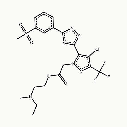 CCN(C)CCOC(=O)Cn1nc(C(F)(F)F)c(Cl)c1-c1nc(-c2cccc(S(C)(=O)=O)c2)ns1